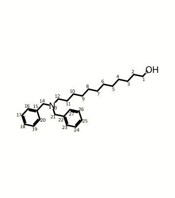 OCCCCCCCCCCCCN(Cc1ccccc1)Cc1ccccc1